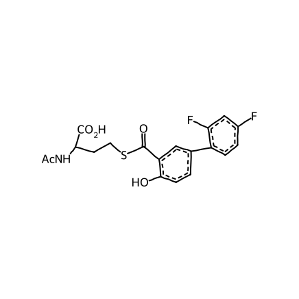 CC(=O)NC(CCSC(=O)c1cc(-c2ccc(F)cc2F)ccc1O)C(=O)O